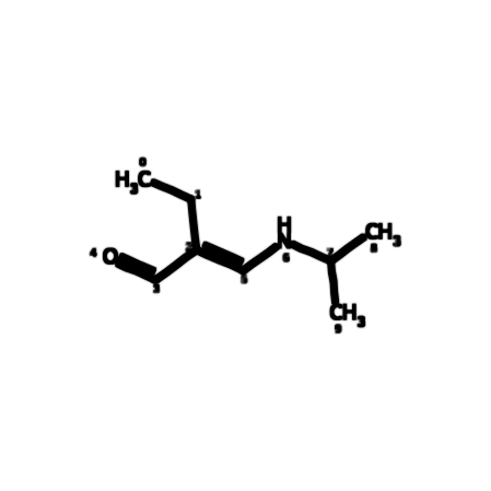 CC/C(C=O)=C\NC(C)C